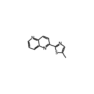 Cc1cnc(-c2ccc3ncccc3n2)s1